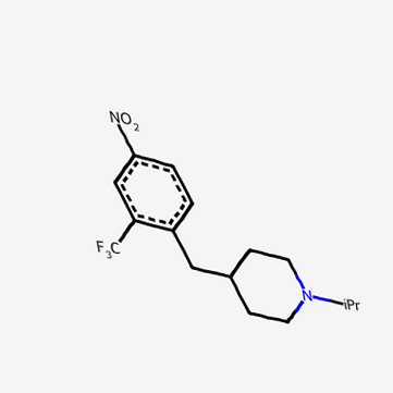 CC(C)N1CCC(Cc2ccc([N+](=O)[O-])cc2C(F)(F)F)CC1